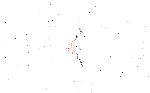 C=CCCOP(=O)(CC)OCCC=C